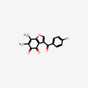 CC1=C(C)c2occ(C(=O)c3ccc(Cl)cc3)c2C(=O)C1=O